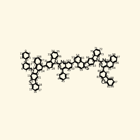 c1ccc(-c2cccc(-n3c4cc5sc6ccccc6c5cc4c4cc(-c5ccc6c(c5)c5ccccc5n6-c5nc(-c6ccccc6)c6ccc(-c7cccc8c7ccc7sc9cc%10c(cc9c78)c7ccccc7n%10-c7nc(-c8ccc9oc%10ccccc%10c9c8)c8ccc9ccccc9c8n7)cc6n5)c5ccccc5c43)c2)cc1